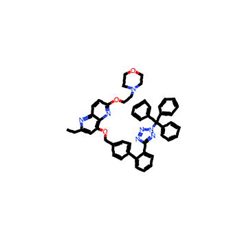 CCc1cc(OCc2ccc(-c3ccccc3-c3nnn(C(c4ccccc4)(c4ccccc4)c4ccccc4)n3)cc2)c2nc(OCCN3CCOCC3)ccc2n1